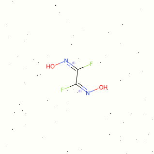 O/N=C(F)\C(F)=N/O